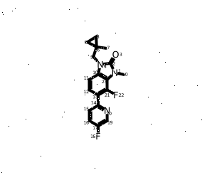 Cn1c(=O)n(CC2(C)CC2)c2ccc(-c3ccc(F)cn3)c(F)c21